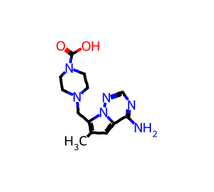 Cc1cc2c(N)ncnn2c1CN1CCN(C(=O)O)CC1